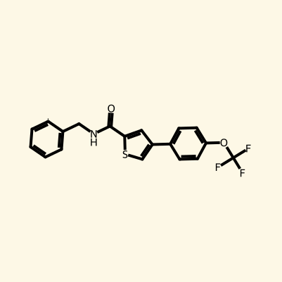 O=C(NCc1[c]cccc1)c1cc(-c2ccc(OC(F)(F)F)cc2)cs1